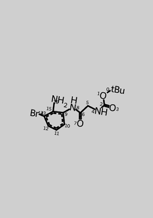 CC(C)(C)OC(=O)NCC(=O)Nc1cccc(Br)c1N